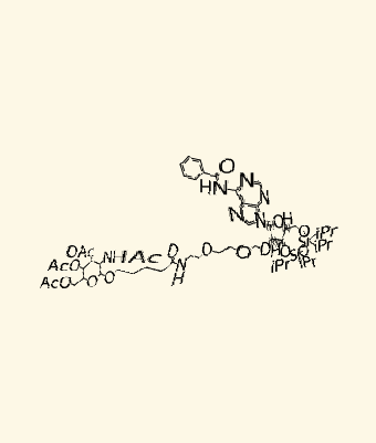 CC(=O)NC1C(OCCCCC(=O)NCCOCCOCO[C@@H]2[C@@H]3O[Si](C(C)C)(C(C)C)O[Si](C(C)C)(C(C)C)OC[C@H]3O[C@H]2n2cnc3c(NC(=O)c4ccccc4)ncnc32)OC(COC(C)=O)C(OC(C)=O)C1OC(C)=O